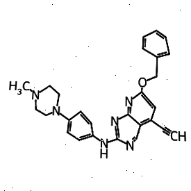 C#Cc1cc(OCc2ccccc2)nc2nc(Nc3ccc(N4CCN(C)CC4)cc3)ncc12